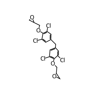 Clc1cc(Cc2cc(Cl)c(OCC3CO3)c(Cl)c2)cc(Cl)c1OCC1CO1